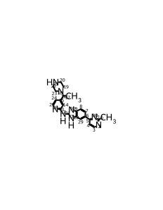 Cc1nccc(-c2ccc3nc(Nc4cc(C(C)N5CCNCC5)ccn4)[nH]c3c2)n1